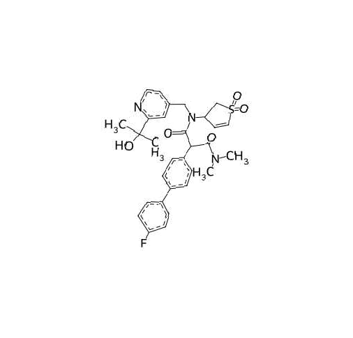 CN(C)C(=O)C(C(=O)N(Cc1ccnc(C(C)(C)O)c1)C1C=CS(=O)(=O)C1)c1ccc(-c2ccc(F)cc2)cc1